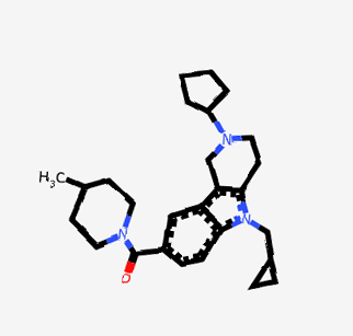 CC1CCN(C(=O)c2ccc3c(c2)c2c(n3CC3CC3)CCN(C3CCCC3)C2)CC1